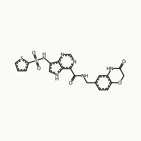 O=C1COc2ccc(CNC(=O)c3ncnc4c(NS(=O)(=O)c5cccs5)c[nH]c34)cc2N1